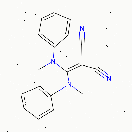 CN(C(=C(C#N)C#N)N(C)c1ccccc1)c1ccccc1